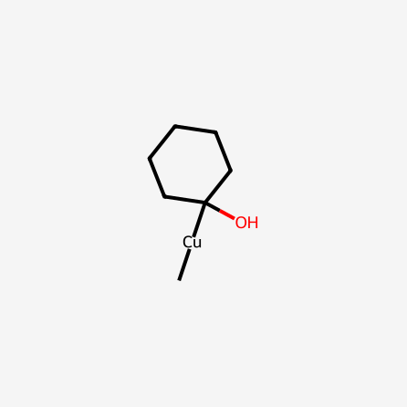 [CH3][Cu][C]1(O)CCCCC1